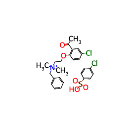 CC(=O)c1cc(Cl)ccc1OCC[N+](C)(C)Cc1ccccc1.O=S(=O)(O)c1ccc(Cl)cc1